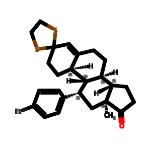 CCc1ccc([C@H]2C[C@]3(C)C(=O)CC[C@H]3[C@@H]3CCC4=CC5(CC[C@@H]4[C@H]32)SCCS5)cc1